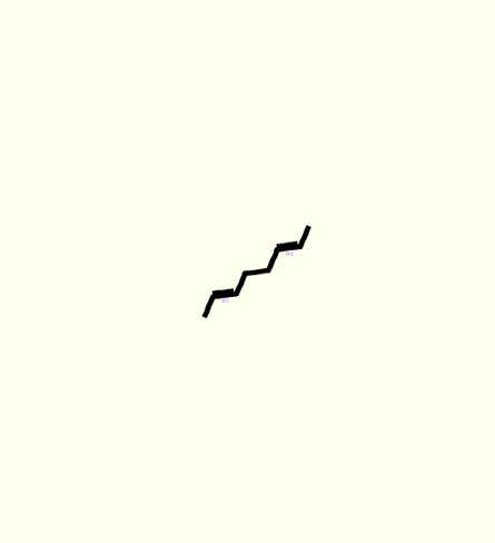 C/C=C/CC/C=C/C